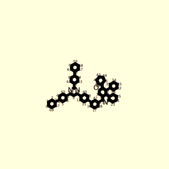 c1ccc(-c2ccc(-c3cc(-c4ccc(-c5cccc(-c6nc7ccccc7c7c(-c8ccccc8)c8c(cc67)oc6ccccc68)c5)cc4)nc(-c4ccc(-c5ccccc5)cc4)n3)cc2)cc1